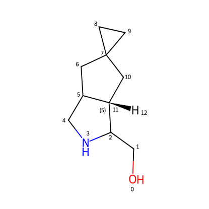 OCC1NCC2CC3(CC3)C[C@@H]21